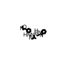 Cc1cnc(Nc2cccc(-c3cnco3)c2)nc1NCc1nc2ccccc2[nH]1